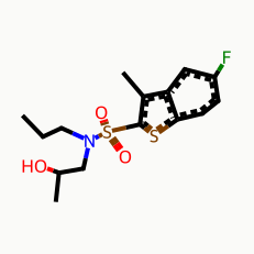 CCCN(CC(C)O)S(=O)(=O)c1sc2ccc(F)cc2c1C